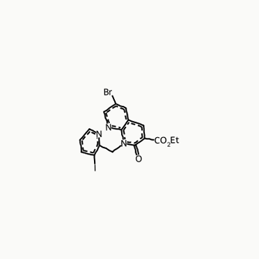 CCOC(=O)c1cc2cc(Br)cnc2n(Cc2ncccc2I)c1=O